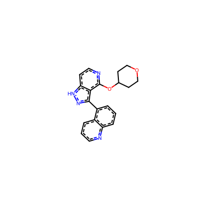 c1cc(-c2n[nH]c3ccnc(OC4CCOCC4)c23)c2cccnc2c1